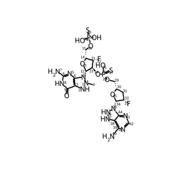 CN1Nc2c(nc(N)[nH]c2=O)N1[C@@H]1O[C@H](COP(O)(O)=S)[C@H](F)[C@H]1OP(O)(=S)OC[C@@H]1C[C@H](F)[C@H](N2NNc3c(N)ncnc32)O1